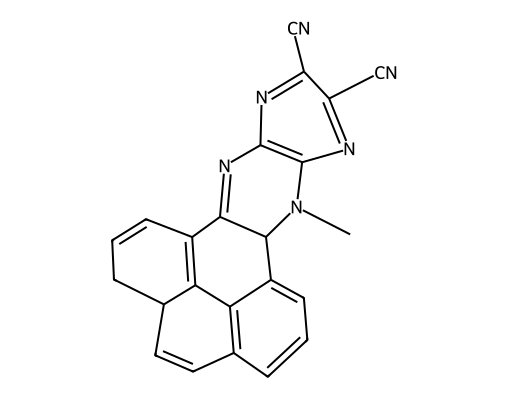 CN1c2nc(C#N)c(C#N)nc2N=C2C3=C4c5c(cccc5C21)C=CC4CC=C3